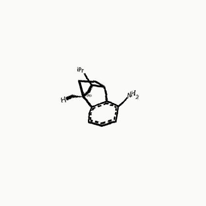 CC(C)C1C2CC[C@H]1c1cccc(N)c12